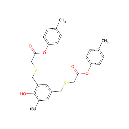 Cc1ccc(OC(=O)CSCc2cc(CSCC(=O)Oc3ccc(C)cc3)c(O)c(C(C)(C)C)c2)cc1